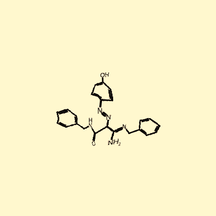 N/C(=N\Cc1ccccc1)C(/N=N/c1ccc(O)cc1)C(=O)NCc1ccccc1